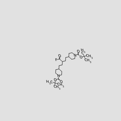 CC(C)(C)OC(=O)N1CCC(CCC(CCC2CCN(C(=O)OC(C)(C)C)CC2)C(=O)F)CC1